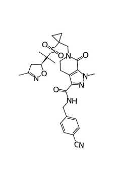 CC1=NO[C@H](C(C)(C)S(=O)(=O)C2(CN3CCc4c(C(=O)NCc5ccc(C#N)cc5)nn(C)c4C3=O)CC2)C1